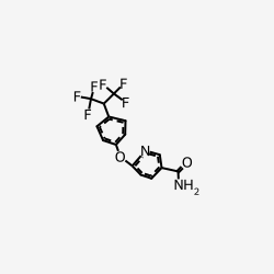 NC(=O)c1ccc(Oc2ccc(C(C(F)(F)F)C(F)(F)F)cc2)nc1